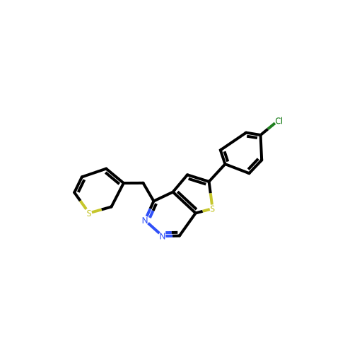 Clc1ccc(-c2cc3c(CC4=CC=CSC4)nncc3s2)cc1